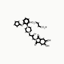 O=C(CN1CCN(c2ccccc2OC2CCCC2)CC1)CN1C(=O)C2CC(O)C(O)CC2C1=O.O=C(O)CCC(=O)O